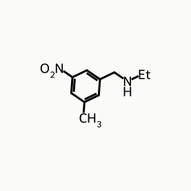 CCNCc1cc(C)cc([N+](=O)[O-])c1